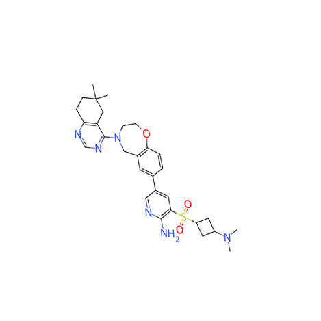 CN(C)C1CC(S(=O)(=O)c2cc(-c3ccc4c(c3)CN(c3ncnc5c3CC(C)(C)CC5)CCO4)cnc2N)C1